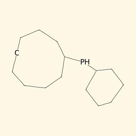 C1CCCCC(PC2CCCCC2)CCC1